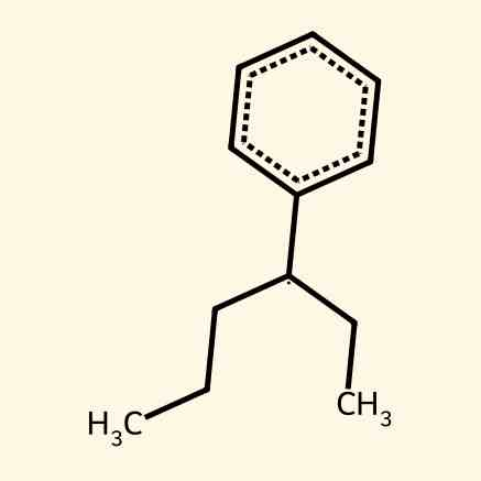 CCC[C](CC)c1ccccc1